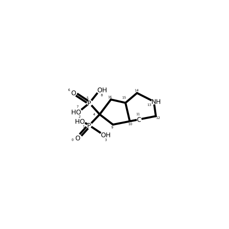 O=P(O)(O)C1(P(=O)(O)O)CC2CCNCC2C1